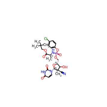 C[C@H](NP(=O)(OC[C@H]1O[C@@H](n2ccc(=O)[nH]c2=O)[C@](C)(C#N)C1O)Oc1ccc(Cl)cc1)C(=O)OCC(C)(C)C